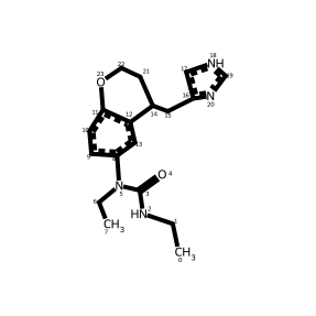 CCNC(=O)N(CC)c1ccc2c(c1)C(Cc1c[nH]cn1)CCO2